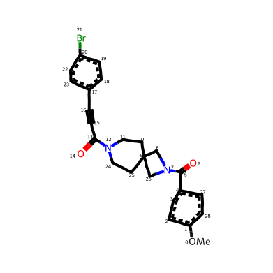 COc1ccc(C(=O)N2CC3(CCN(C(=O)C#Cc4ccc(Br)cc4)CC3)C2)cc1